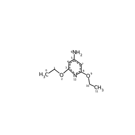 CCOc1cc(N)cc(OCC)n1